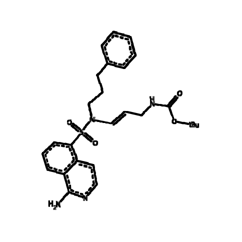 CC(C)(C)OC(=O)NCC=CN(CCCc1ccccc1)S(=O)(=O)c1cccc2c(N)nccc12